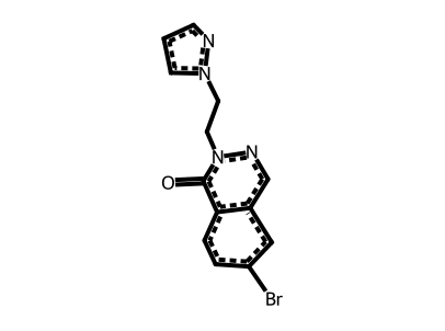 O=c1c2ccc(Br)cc2cnn1CCn1cccn1